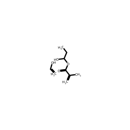 C=C(C)C(=O)OC(O)CC.C=CO